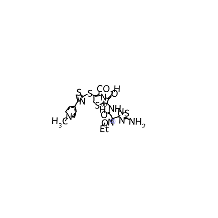 CCO/N=C(\C(=O)NC1C(=O)N2C(C(=O)O)=C(Sc3nc(-c4cc[n+](C)cc4)cs3)CS[C@H]12)c1nsc(N)n1